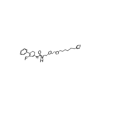 C[C@@H](C(=O)NCCOCCOCCCCCCCl)C1=CC(F)=C(c2ccccc2)CC1